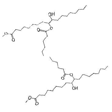 CCCCCCCCC(O)C(CCCCCCCC(=O)OC)OC(=O)CCCCC.CCCCCCCCC(OC(=O)CCCCC)C(O)CCCCCCCC(=O)OC